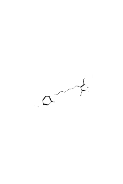 CCc1noc(CC)c1CCCCCCOc1ccc(OC)cc1Cl